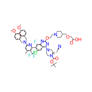 COc1ccc(CN(Cc2ccc(OC)cc2)c2cc(C)c(C(F)(F)F)c(-c3c(Cl)cc4c(N5CCN(C(=O)OC(C)(C)C)[C@@H](CC#N)C5)nc(OCCN5CCC(COCC(=O)O)CC5)nc4c3F)n2)cc1